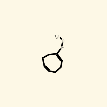 C[O][Ir-][C]1=CCCC=CCC1